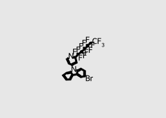 FC(F)(F)C(F)(F)C(F)(F)C(F)(F)C(F)(F)C(F)(F)c1cc(-n2c3ccccc3c3cc(Br)ccc32)ccn1